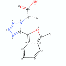 Cc1oc(-c2nnnn2C(C)C(=O)O)c2ccccc12